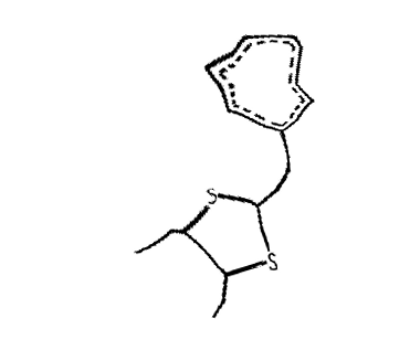 CC1SC(Cc2ccccc2)SC1C